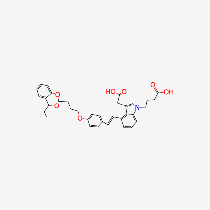 CCC(=O)c1ccccc1OCCCCOc1ccc(/C=C/c2cccc3c2c(CC(=O)O)cn3CCCC(=O)O)cc1